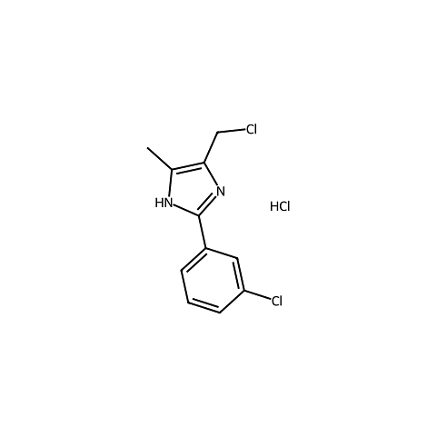 Cc1[nH]c(-c2cccc(Cl)c2)nc1CCl.Cl